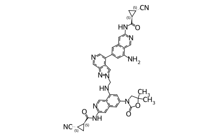 CC1(C)CN(c2cc(NCn3cc4c(-c5cc(N)c6cnc(NC(=O)[C@H]7C[C@@H]7C#N)cc6c5)cncc4n3)c3cnc(NC(=O)[C@H]4C[C@@H]4C#N)cc3c2)C(=O)O1